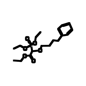 CCOC(=O)C(OCCCCc1ccccc1)P(=O)(OCC)OCC